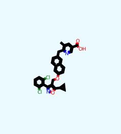 Cc1cc(C(=O)O)cnc1Cc1ccc2cc(OCc3c(-c4c(Cl)cccc4Cl)noc3C3CC3)ccc2c1